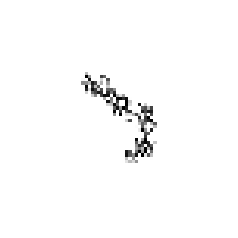 CCn1nnc(-c2ccc3nnc(Sc4ccc5nc(NC(=O)C6CC6)cn5n4)n3c2)n1